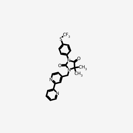 CC1(C)C(=O)N(c2ccc(SC(F)(F)F)cc2)C(=O)N1Cc1ccnc(-c2ccccn2)c1